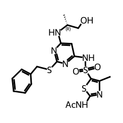 CC(=O)Nc1nc(C)c(S(=O)(=O)Nc2cc(N[C@H](C)CO)nc(SCc3ccccc3)n2)s1